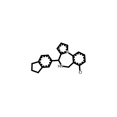 Clc1cccc2c1CNC(c1ccc3c(c1)CCC3)c1cccn1-2